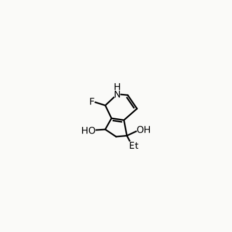 CCC1(O)CC(O)C2=C1C=CNC2F